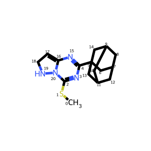 CSC1=NC(C23CC4CC(CC(C4)C2)C3)=NC2=CCNN21